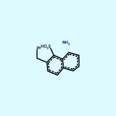 CC(C)Cc1ccc2ccccc2c1S(=O)(=O)O.N